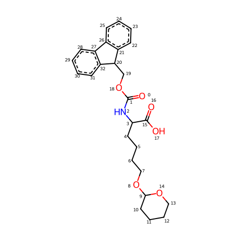 O=C(NC(CCCCOC1CCCCO1)C(=O)O)OCC1c2ccccc2-c2ccccc21